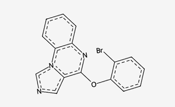 Brc1ccccc1Oc1nc2ccccc2n2cncc12